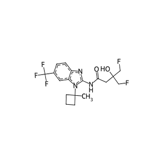 CC1(n2c(NC(=O)CC(O)(CF)CF)nc3ccc(C(F)(F)F)cc32)CCC1